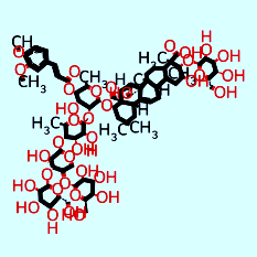 COc1ccc(/C=C/C(=O)O[C@H]2[C@H](O)[C@@H](O[C@H]3O[C@H](C)[C@@H](O[C@H]4OCC(O[C@H]5O[C@H](CO)[C@@H](O)[C@@H](O)[C@H]5O)C(O[C@H]5O[C@H](CO)[C@H](O)[C@@H](O)[C@H]5O)[C@H]4O)[C@@H](O)[C@@H]3O)[C@@H](OC(=O)[C@]34CCC(C)(C)C[C@H]3C3=CC[C@@H]5[C@@]6(C)C[C@H](O)[C@H](O[C@@H]7O[C@@H](CO)[C@@H](O)[C@H](O)[C@@H]7O)[C@@](C)(C(=O)O)C6CC[C@@]5(C)[C@]3(CO)CC4)O[C@@H]2C)cc1OC